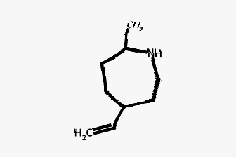 C=CC1CCNC(C)CC1